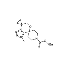 Cc1cnn2c1C1(CCN(C(=O)OC(C)(C)C)CC1)OCC21CC1